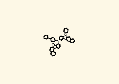 c1ccc(-c2ccc(N(c3ccc4c(c3)c3cc5ccccc5cc3n4-c3ccccc3)c3cccc4c3oc3ccc5ccccc5c34)cc2)cc1